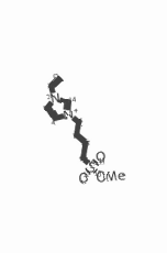 C=Cn1cc[n+](CCCCS(=O)(=O)OC)c1